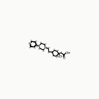 O=C(O)CC1(O)CCC(CCN2CCN(c3ccncc3)CC2)CC1